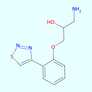 NCC(O)COc1ccccc1-c1csnn1